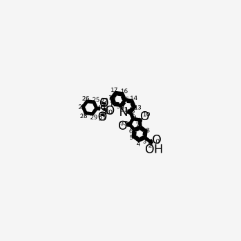 O=C(O)c1ccc2c(c1)C(=O)C(c1ccc3cccc(OS(=O)(=O)C4CCCCC4)c3n1)C2=O